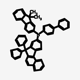 CC1(C)c2ccccc2-c2ccc(N(c3ccc(-c4ccccc4)cc3)c3ccc4c(c3)C(c3ccccc3)(c3ccccc3)c3ccc5ccccc5c3-4)cc21